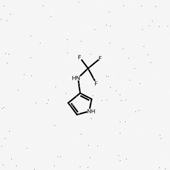 FC(F)(F)Nc1cc[nH]c1